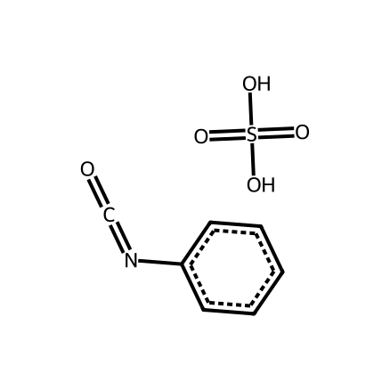 O=C=Nc1ccccc1.O=S(=O)(O)O